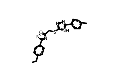 CCc1ccc(-c2noc(CSc3nnc(-c4ccc(C)cc4)[nH]3)n2)cc1